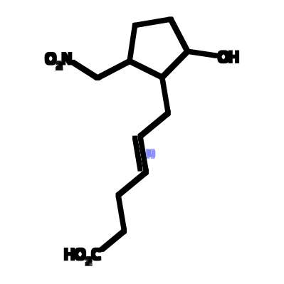 O=C(O)CC/C=C/CC1C(O)CCC1C[N+](=O)[O-]